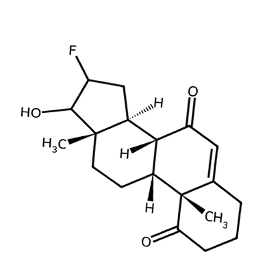 C[C@]12C(=O)CCCC1=CC(=O)[C@@H]1[C@H]2CC[C@]2(C)C(O)C(F)C[C@@H]12